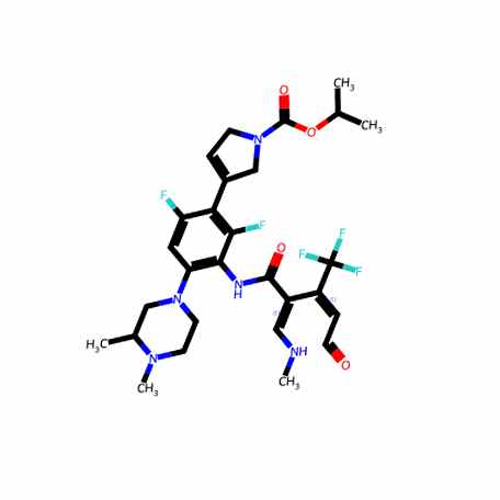 CN/C=C(C(=O)Nc1c(N2CCN(C)C(C)C2)cc(F)c(C2=CCN(C(=O)OC(C)C)C2)c1F)\C(=C/C=O)C(F)(F)F